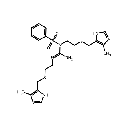 Cc1nc[nH]c1CSCCN=C(N)N(CCSCc1[nH]cnc1C)S(=O)(=O)c1ccccc1